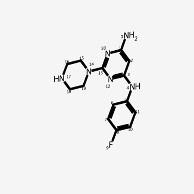 Nc1cc(Nc2ccc(F)cc2)nc(N2CCNCC2)n1